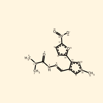 CN(C)C(=O)NN=Cc1cn(C)nc1-c1ccc([N+](=O)[O-])o1